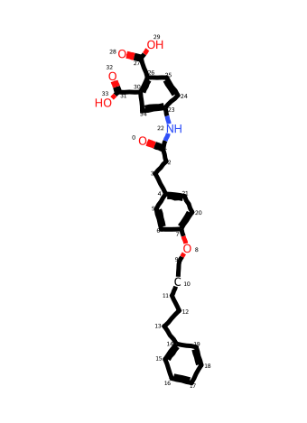 O=C(CCc1ccc(OCCCCCc2ccccc2)cc1)Nc1ccc(C(=O)O)c(C(=O)O)c1